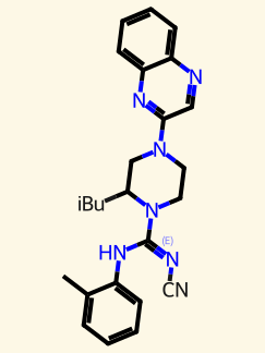 CCC(C)C1CN(c2cnc3ccccc3n2)CCN1/C(=N/C#N)Nc1ccccc1C